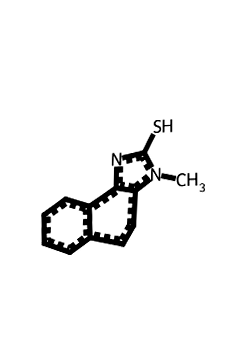 Cn1c(S)nc2c3ccccc3ccc21